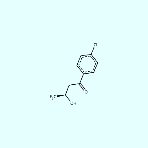 O=C(C[C@@H](O)C(F)(F)F)c1ccc(Cl)cc1